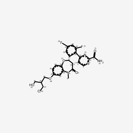 CN1C(=O)[C@@H](c2cnc(C(N)=O)nc2-c2ccc(F)cc2F)COc2ccc(OCC(CO)CCl)cc21